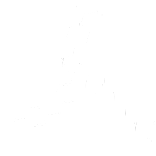 CCN(CC)CCCOc1ccc(C2(c3ccc(Oc4ccc(Cl)cc4)cc3)C=NC(C3CCN(C(C)=O)CC3)=N2)cc1